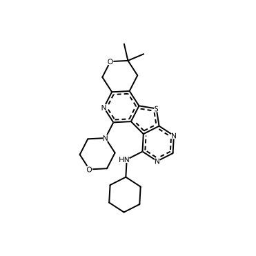 CC1(C)Cc2c(nc(N3CCOCC3)c3c2sc2ncnc(NC4CCCCC4)c23)CO1